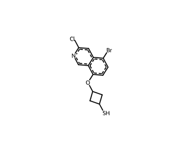 SC1CC(Oc2ccc(Br)c3cc(Cl)ncc23)C1